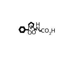 O=C(O)CNC(=O)[C@@H]1CCCN1C(=O)c1ccccc1